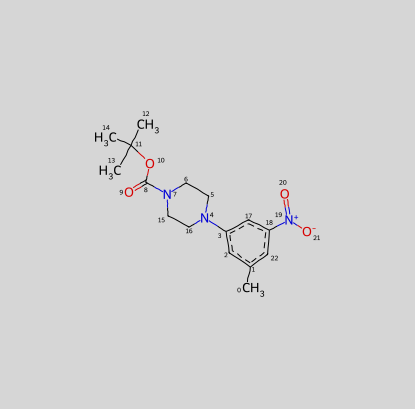 Cc1cc(N2CCN(C(=O)OC(C)(C)C)CC2)cc([N+](=O)[O-])c1